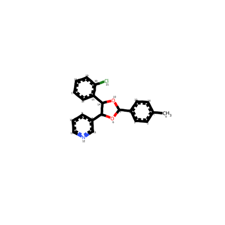 Cc1ccc(C2OC(c3cccnc3)C(c3ccccc3Cl)O2)cc1